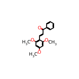 COc1cc(OC)c(/C=C/C(=O)c2ccccc2)c(OC)c1